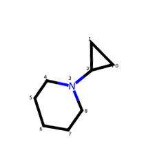 [CH]1CC1N1CCCCC1